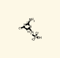 CS(=O)(=O)O.Nc1cc(Cl)nc(N)n1